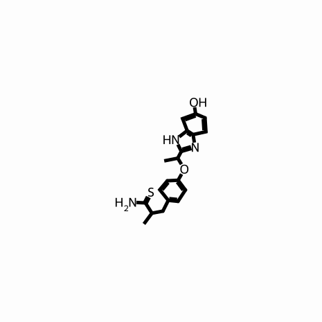 CC(Cc1ccc(OC(C)c2nc3ccc(O)cc3[nH]2)cc1)C(N)=S